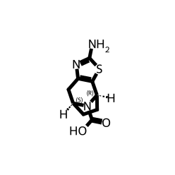 Nc1nc2c(s1)[C@H]1CC[C@@H](C2)N1C(=O)O